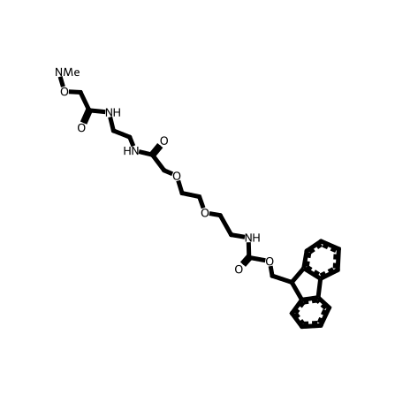 CNOCC(=O)NCCNC(=O)COCCOCCNC(=O)OCC1c2ccccc2-c2ccccc21